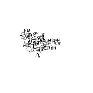 C[C@H](CC[C@@H](O[C@@H]1O[C@H](CO[C@@H]2O[C@H](CO)[C@@H](O)[C@H](O)[C@H]2O)[C@@H](O)[C@H](O)[C@H]1O[C@@H]1O[C@H](CO)[C@@H](O)[C@H](O)[C@H]1O)C(C)(C)O)[C@H]1CC[C@@]2(C)C3CC=C4[C@@H](CC[C@H](O[C@@H]5O[C@H](CCO)[C@@H](O)[C@H](O)[C@H]5O[C@@H]5O[C@H](CO)[C@@H](O)[C@H](O)[C@H]5O)C4(C)C)[C@]3(C)[C@H](O)C[C@]12C